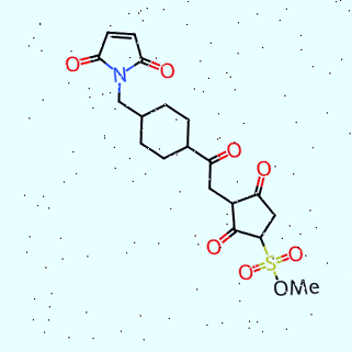 COS(=O)(=O)C1CC(=O)C(CC(=O)C2CCC(CN3C(=O)C=CC3=O)CC2)C1=O